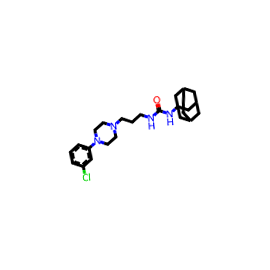 O=C(NCCCN1CCN(c2cccc(Cl)c2)CC1)NC12CC3CC(CC(C3)C1)C2